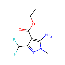 CCOC(=O)c1c(C(F)F)nn(C)c1N